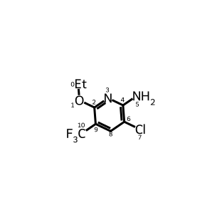 CCOc1nc(N)c(Cl)cc1C(F)(F)F